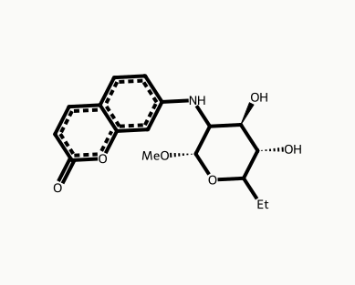 CCC1O[C@H](OC)C(Nc2ccc3ccc(=O)oc3c2)[C@@H](O)[C@@H]1O